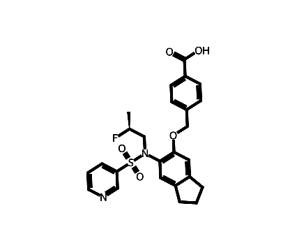 C[C@H](F)CN(c1cc2c(cc1OCc1ccc(C(=O)O)cc1)CCC2)S(=O)(=O)c1cccnc1